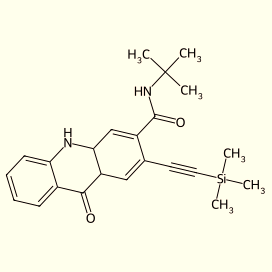 CC(C)(C)NC(=O)C1=CC2Nc3ccccc3C(=O)C2C=C1C#C[Si](C)(C)C